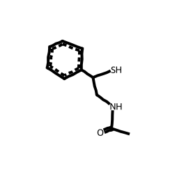 CC(=O)NCC(S)c1ccccc1